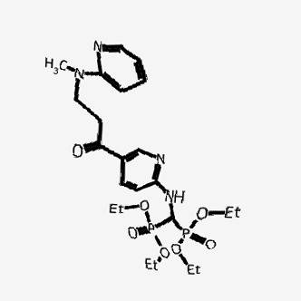 CCOP(=O)(OCC)C(Nc1ccc(C(=O)CCN(C)c2ccccn2)cn1)P(=O)(OCC)OCC